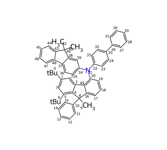 CC(C)(C)c1cc2c(c(C(C)(C)C)c1)C(C)(c1ccccc1)c1cccc(N(c3ccc(-c4ccccc4)cc3)c3ccc4c(c3)C(C)(C)c3ccccc3-4)c1-2